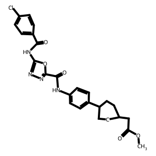 COC(=O)CC1CCC(c2ccc(NC(=O)c3nnc(NC(=O)c4ccc(Cl)cc4)o3)cc2)CC1